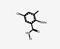 CCNC(=O)c1cc(Cl)cc(C)c1NC